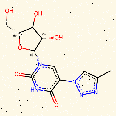 Cc1cn(-c2cn([C@@H]3O[C@H](CO)C(O)[C@@H]3O)c(=O)[nH]c2=O)nn1